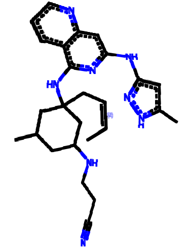 C/C=C\CC1(Nc2nc(Nc3cc(C)[nH]n3)cc3ncccc23)CC(C)CC(NCCC#N)C1